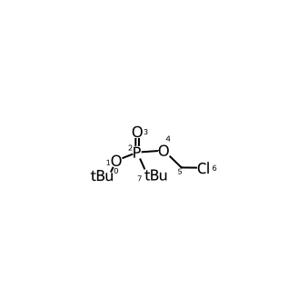 CC(C)(C)OP(=O)(OCCl)C(C)(C)C